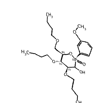 CCCCOC[C@H]1O[P@@](=O)(c2cccc(OC)c2)C(O)[C@@H](OCCCC)[C@@H]1OCCCC